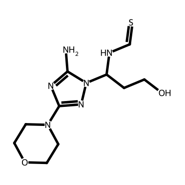 Nc1nc(N2CCOCC2)nn1C(CCO)NC=S